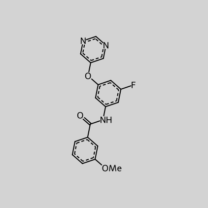 COc1cccc(C(=O)Nc2cc(F)cc(Oc3cncnc3)c2)c1